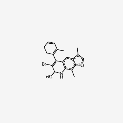 CC1=C(C2=C(Br)C(O)Nc3c2cc2c(C)coc2c3C)CCC=C1